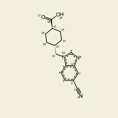 N#Cc1ccc2c(c1)ncn2C[C@H]1CC[C@H](C(=O)O)CC1